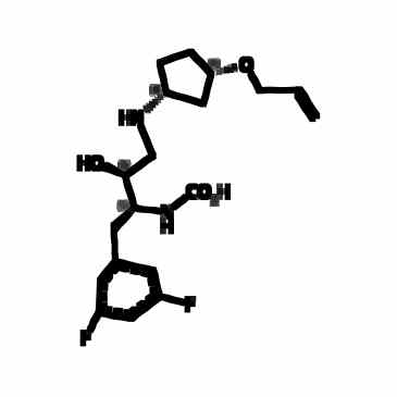 C=CCO[C@H]1CC[C@@H](NC[C@H](O)[C@H](Cc2cc(F)cc(F)c2)NC(=O)O)C1